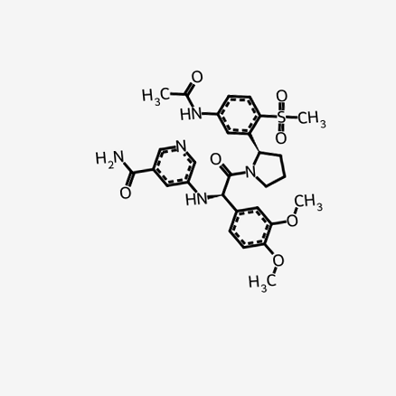 COc1ccc([C@@H](Nc2cncc(C(N)=O)c2)C(=O)N2CCC[C@@H]2c2cc(NC(C)=O)ccc2S(C)(=O)=O)cc1OC